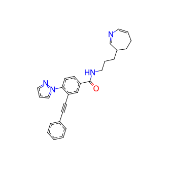 O=C(NCCCC1C=NC=CCC1)c1ccc(-n2cccn2)c(C#Cc2ccccc2)c1